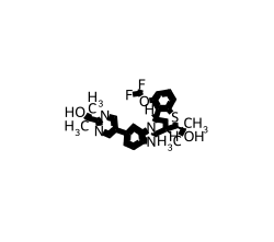 CC(C)(O)c1ncc(-c2ccc3nc4n(c3c2)[C@H]2C[C@H]4[C@H](C(C)(C)O)Sc3cccc(OC(F)F)c32)cn1